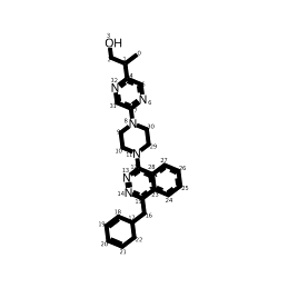 CC(CO)c1cnc(N2CCN(c3nnc(CC4C=CC=CC4)c4ccccc34)CC2)cn1